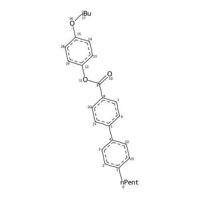 CCCCCc1ccc(-c2ccc(C(=O)Oc3ccc(OC(C)CC)cc3)cc2)cc1